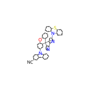 N#Cc1ccc2c(c1)c1ccccc1n2-c1ccc2c(c1)C1(c3ccccc3O2)c2cccnc2-c2ncc(N3c4ccccc4Sc4ccccc43)cc21